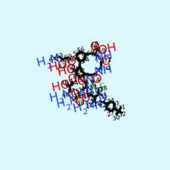 C[C@@H]1NC(=O)[C@@H](N(C)C(=O)C(CNS(N)(=O)=O)NC(=O)c2c(N)nc(-c3ccc(C(C)(C)C)cc3)nc2C(F)F)c2cc(OCC(O)CN)c(O)c(c2)-c2cc(ccc2OCC(O)CN)C[C@@H](C(=O)O)NC1=O